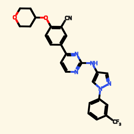 N#Cc1cc(-c2ccnc(Nc3cnn(-c4cccc(C(F)(F)F)c4)c3)n2)ccc1OC1CCOCC1